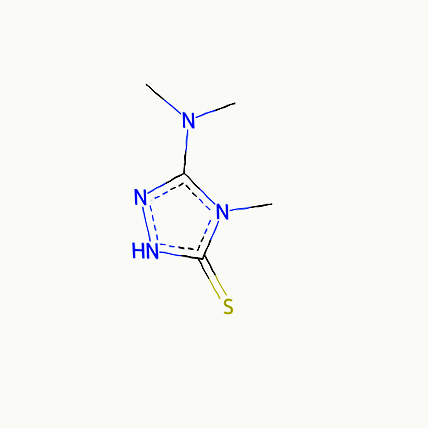 CN(C)c1n[nH]c(=S)n1C